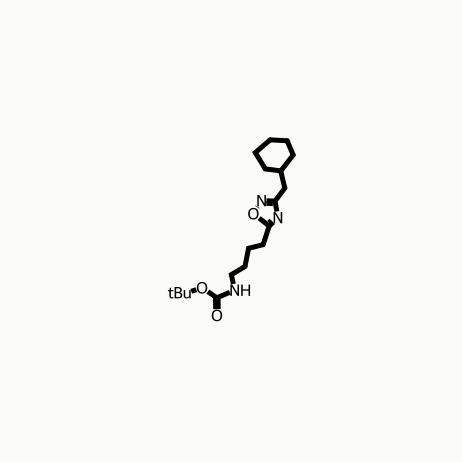 CC(C)(C)OC(=O)NCCCCc1nc(CC2CCCCC2)no1